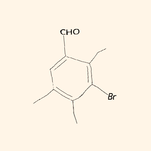 Cc1cc(C=O)c(C)c(Br)c1C